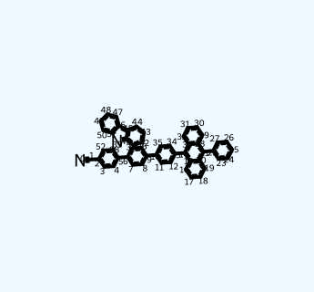 N#Cc1ccc(-c2ccc(-c3ccc(-c4c5ccccc5c(-c5ccccc5)c5ccccc45)cc3)cc2)c(-n2c3ccccc3c3ccccc32)c1